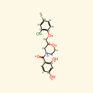 O=C(c1ccc(O)cc1O)N1CCOC(COc2ccc(F)cc2Cl)C1